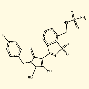 CC(C)(C)C1C(O)=C(C2=NS(=O)(=O)c3c(CNS(N)(=O)=O)cccc32)C(=O)N1Cc1ccc(F)cc1